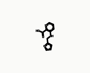 O=C(O)c1ncccc1NCc1ccco1